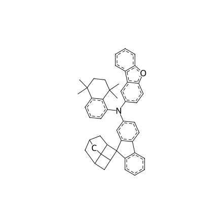 CC1(C)CCC(C)(C)c2c(N(c3ccc4c(c3)C3(c5ccccc5-4)C4CC5CC6CC3C64C5)c3ccc4oc5ccccc5c4c3)cccc21